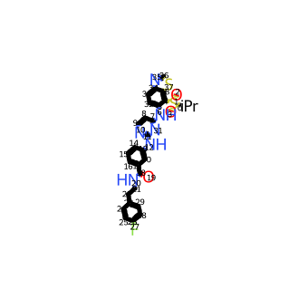 CC(C)S(=O)(=O)c1c(Nc2ccnc(Nc3cccc(C(=O)NCCc4ccc(F)cc4)c3)n2)ccc2ncsc12